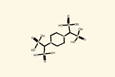 O=P(O)(O)C(N1CCN(C(P(=O)(O)O)P(=O)(O)O)CC1)P(=O)(O)O